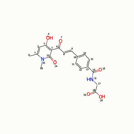 Cc1cc(O)c(C(=O)C=Cc2ccc(C(=O)NCC(=O)O)cc2)c(=O)n1C